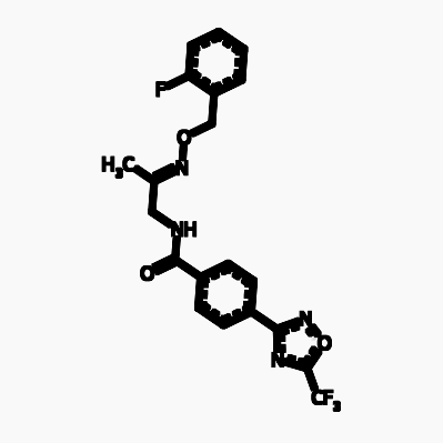 CC(CNC(=O)c1ccc(-c2noc(C(F)(F)F)n2)cc1)=NOCc1ccccc1F